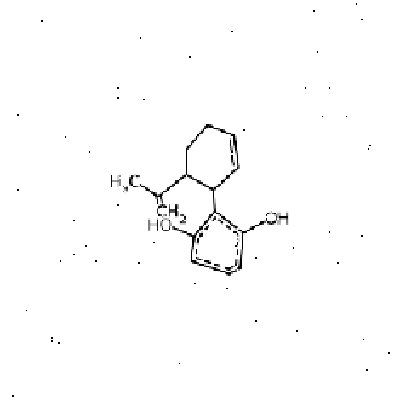 C=C(C)C1CCC=CC1c1c(O)cccc1O